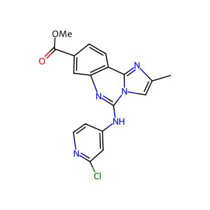 COC(=O)c1ccc2c(c1)nc(Nc1ccnc(Cl)c1)n1cc(C)nc21